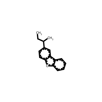 CCC(C)c1ccc2oc3ccccc3c2c1